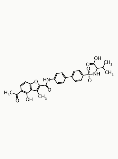 CC(=O)c1ccc2oc(C(=O)Nc3ccc(-c4ccc(S(=O)(=O)NC(C(=O)O)C(C)C)cc4)cc3)c(C)c2c1O